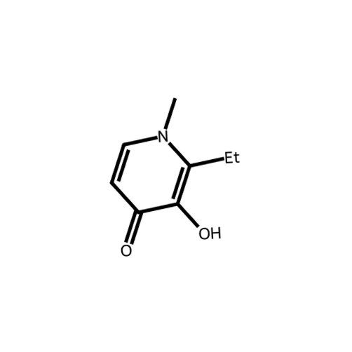 CCc1c(O)c(=O)ccn1C